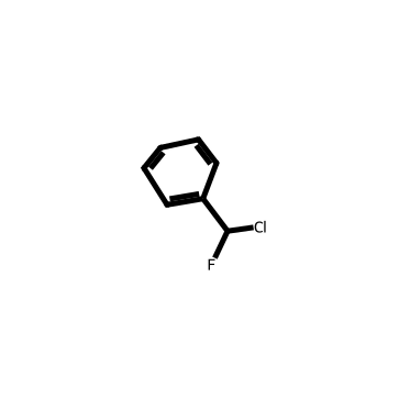 F[C](Cl)c1ccccc1